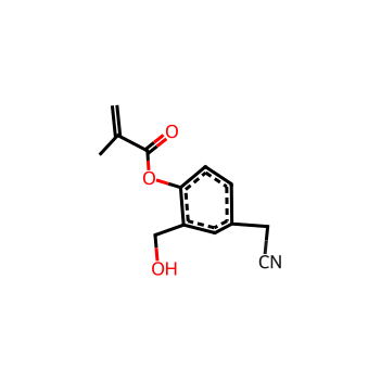 C=C(C)C(=O)Oc1ccc(CC#N)cc1CO